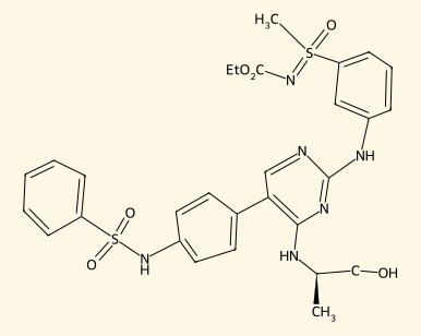 CCOC(=O)N=S(C)(=O)c1cccc(Nc2ncc(-c3ccc(NS(=O)(=O)c4ccccc4)cc3)c(N[C@H](C)CO)n2)c1